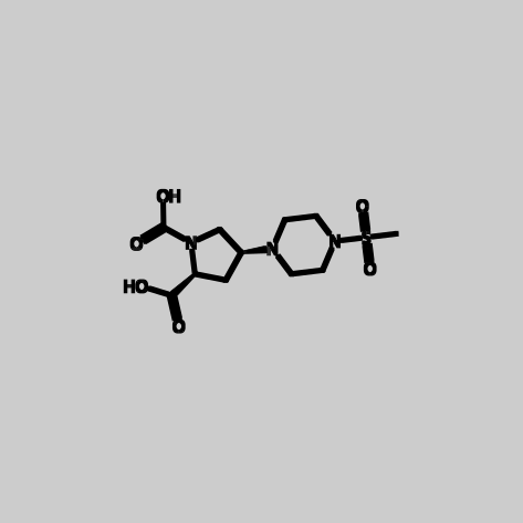 CS(=O)(=O)N1CCN([C@H]2C[C@@H](C(=O)O)N(C(=O)O)C2)CC1